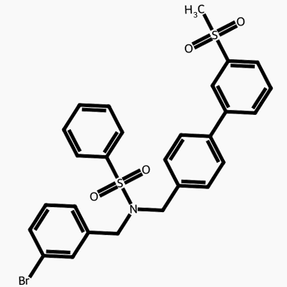 CS(=O)(=O)c1cccc(-c2ccc(CN(Cc3cccc(Br)c3)S(=O)(=O)c3ccccc3)cc2)c1